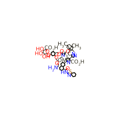 COCCN(CCOC12CC3(C)CC(C)(CC(Cn4ncc(-c5ccc(-c6ccc7cccc(C(=O)Nc8nc9ccccc9s8)c7c6)nc5C(=O)O)c4C)(C3)C1)C2)C(=O)OCc1ccc(O[C@@H]2O[C@H](C(=O)O)[C@@H](O)[C@H](O)[C@H]2O)cc1OCCOCCN